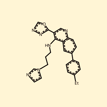 CCc1ccc(-c2ccc3ncc(-c4nnco4)c(NCCCn4ccnc4)c3c2)cc1